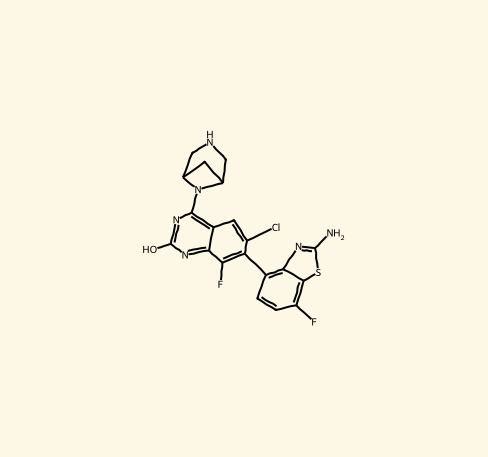 Nc1nc2c(-c3c(Cl)cc4c(N5C6CNCC5C6)nc(O)nc4c3F)ccc(F)c2s1